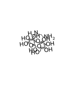 NCCCN.OC[C@H]1O[C@@H](O[C@H]2[C@H](O)[C@@H](O)[C@H](O)O[C@@H]2CO)[C@H](O)[C@@H](O)[C@@H]1O